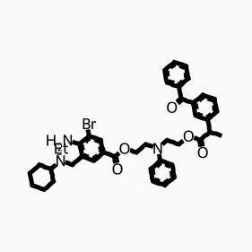 CCN(Cc1cc(C(=O)OCCN(CCOC(=O)C(C)c2cccc(C(=O)c3ccccc3)c2)c2ccccc2)cc(Br)c1N)C1CCCCC1